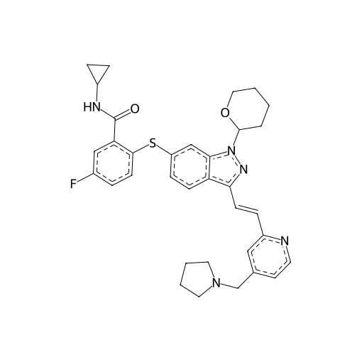 O=C(NC1CC1)c1cc(F)ccc1Sc1ccc2c(/C=C/c3cc(CN4CCCC4)ccn3)nn(C3CCCCO3)c2c1